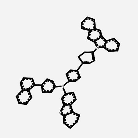 C1=C(c2ccc(N(c3ccc(-c4cccc5ccccc45)cc3)c3ccc4c(c3)sc3ccccc34)cc2)CCC(n2c3ccccc3c3cc4ccccc4cc32)=C1